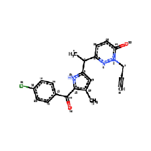 C#CCn1nc(C(C)c2cc(C)c(C(=O)c3ccc(Cl)cc3)[nH]2)ccc1=O